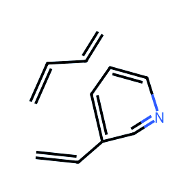 C=CC=C.C=Cc1cccnc1